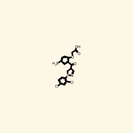 Bc1ccc(OCC(=O)O)c(C(=O)C2C=NN(c3ccc(Cl)cc3Cl)C2)c1